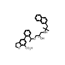 CC(OC[C@H](O)CNC(C)(C)Cc1ccc2ccccc2c1)c1ccccc1-c1cc2c(c(C(=O)O)c1)OCC2